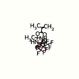 C=C(C)C(=O)OC(C)(NS(=O)(=O)C(F)(F)C(F)(F)F)NS(=O)(=O)C(F)(F)C(F)(F)F